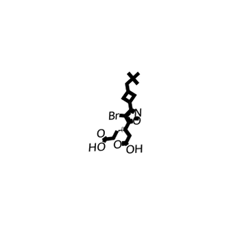 CC(C)(C)CC1CC(c2noc([C@@H](CCC(=O)O)CC(=O)O)c2Br)C1